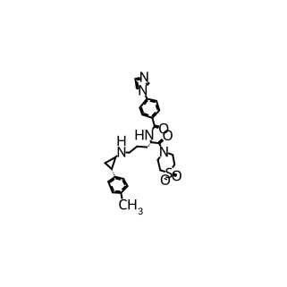 Cc1ccc([C@@H]2C[C@H]2NCCC[C@H](NC(=O)c2ccc(-n3ccnc3)cc2)C(=O)N2CCS(=O)(=O)CC2)cc1